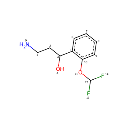 NCCC(O)c1ccccc1OC(F)F